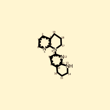 [c]1ccc2c(n1)N(c1ccc3c(n1)NCCC3)CCC2